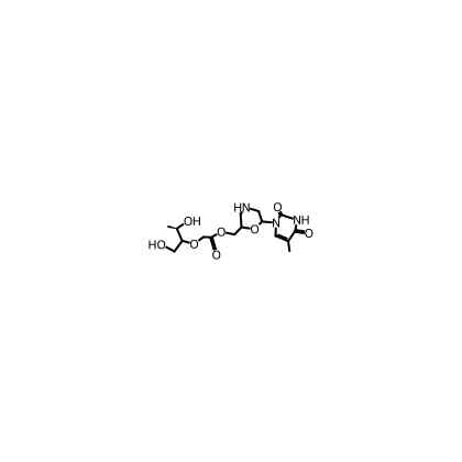 Cc1cn(C2CNCC(COC(=O)COC(CO)[C@@H](C)O)O2)c(=O)[nH]c1=O